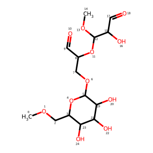 COCC1OC(OCC(C=O)OC(OC)C(O)C=O)C(O)C(O)C1O